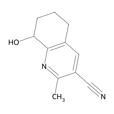 Cc1nc2c(cc1C#N)CCCC2O